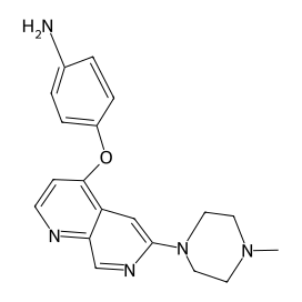 CN1CCN(c2cc3c(Oc4ccc(N)cc4)ccnc3cn2)CC1